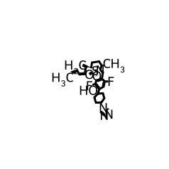 C=C(/C=C\C=C/C)[C@H]1CC[C@H](C)N(Cc2cc(F)c([C@]3(O)CC[C@@H](n4cnnc4)CC3)cc2F)S1(=O)=O